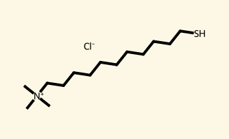 C[N+](C)(C)CCCCCCCCCCCS.[Cl-]